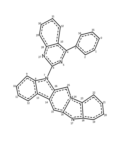 c1ccc(-c2nc(-n3c4ccccc4c4cc5nc6ccccc6n5cc43)nc3ccccc23)cc1